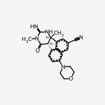 CN1C(=N)N[C@](C)(c2cccc(C#N)c2)[C@H](c2ccc(N3CCOCC3)cc2)C1=O